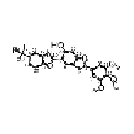 COc1cc(-c2cc3cc(-c4nc5cc(C(F)(F)F)ccc5o4)c(O)cc3o2)cc(OC)c1OC